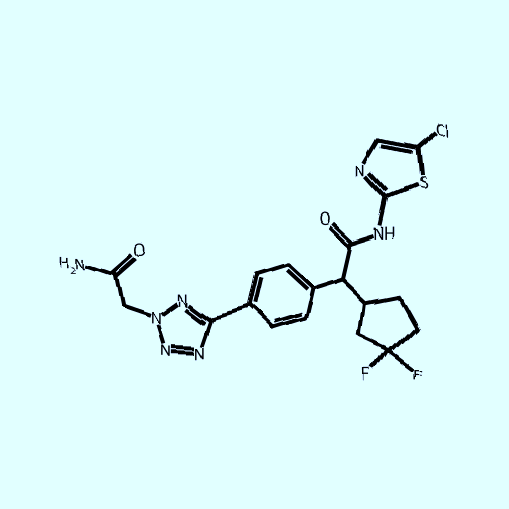 NC(=O)Cn1nnc(-c2ccc(C(C(=O)Nc3ncc(Cl)s3)C3CCC(F)(F)C3)cc2)n1